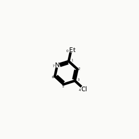 CCc1[c]c(Cl)ccn1